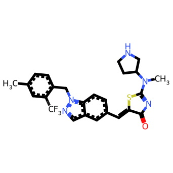 Cc1ccc(Cn2ncc3cc(/C=C4\SC(N(C)C5CCNC5)=NC4=O)ccc32)c(C(F)(F)F)c1